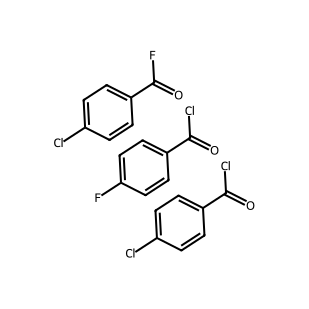 O=C(Cl)c1ccc(Cl)cc1.O=C(Cl)c1ccc(F)cc1.O=C(F)c1ccc(Cl)cc1